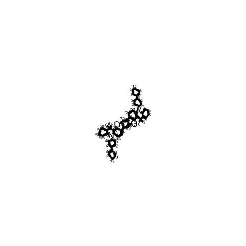 CC1(C)c2ccccc2N(c2ccc(-c3ccccc3)cc2)c2ccc3c(oc4cc5c(cc43)oc3c4c(ccc35)N(c3ccc(-c5ccccc5)cc3)c3ccccc3C4(C)C)c21